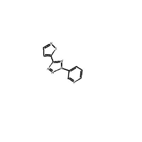 c1cncc(-n2nnc(-c3ccns3)n2)c1